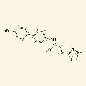 CCCc1ccc(-c2ccc(NC(=O)CSC3=NNCN3)cc2)cc1